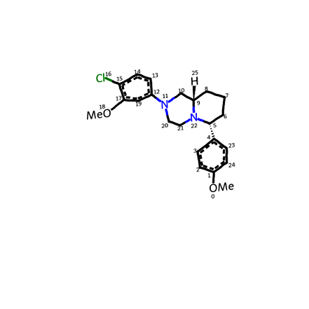 COc1ccc([C@H]2CCC[C@H]3CN(c4ccc(Cl)c(OC)c4)CCN32)cc1